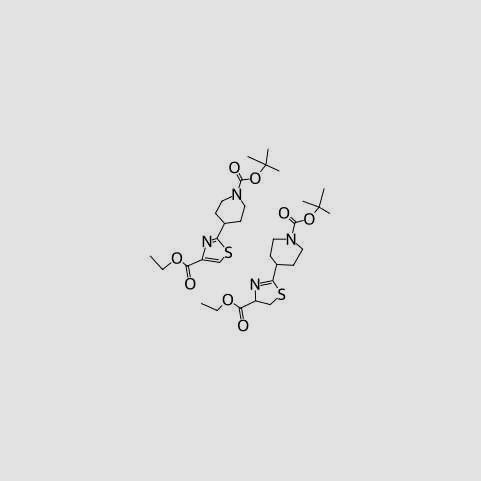 CCOC(=O)C1CSC(C2CCN(C(=O)OC(C)(C)C)CC2)=N1.CCOC(=O)c1csc(C2CCN(C(=O)OC(C)(C)C)CC2)n1